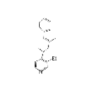 CCc1cnccc1C(C)CC(C)=Cc1ccccc1